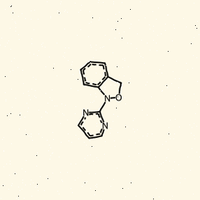 c1cnc(N2OCc3ccccc32)nc1